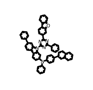 c1ccc(-c2ccc3c4ccc(N(c5ccccc5)c5ccc(-c6ccc7ccccc7c6)cc5)cc4n(-c4nc(-c5ccccc5)nc(-c5ccc6c(c5)oc5ccccc56)n4)c3c2)cc1